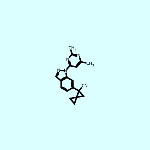 Cc1cc(-n2ncc3ccc(C4(C#N)CC45CC5)cc32)nc(C)n1